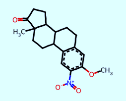 COc1cc2c(cc1[N+](=O)[O-])C1CCC3(C)C(=O)CCC3C1CC2